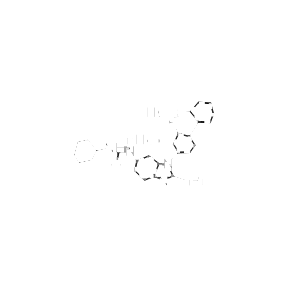 CCCCCCN(C(=O)NC1CCCCC1)c1ccc2nc(CCCC)n(-c3ccc(-c4ccccc4C(=O)O)c(C)c3)c2c1